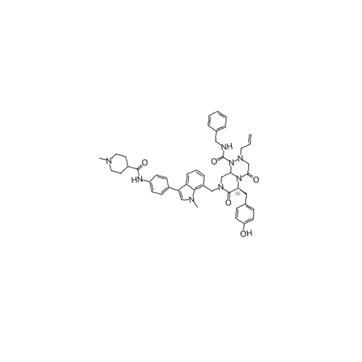 C=CCN1CC(=O)N2C(CN(Cc3cccc4c(-c5ccc(NC(=O)C6CCN(C)CC6)cc5)cn(C)c34)C(=O)[C@@H]2Cc2ccc(O)cc2)N1C(=O)NCc1ccccc1